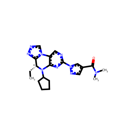 CC[C@@H]1c2nncn2-c2cnc(-n3cc(C(=O)N(C)C)cn3)nc2N1C1CCCC1